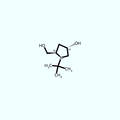 CC(C)(C)N1C[C@@H](O)C[C@@H]1CO